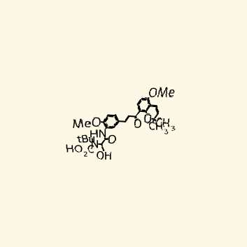 COc1ccc(C=CC(=O)c2ccc(OC)c3c2OC(C)(C)C=C3)cc1NC(=O)C(CO)N(C(=O)O)C(C)(C)C